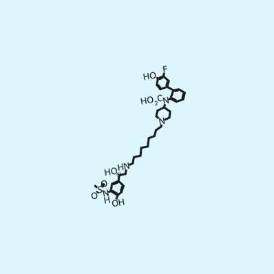 CS(=O)(=O)Nc1cc([C@H](O)CNCCCCCCCCCN2CCC(N(C(=O)O)c3ccccc3-c3ccc(O)c(F)c3)CC2)ccc1O